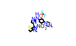 CN1CCN(c2cc(OC(F)F)c(Nc3nccc(-c4nn(C)c5ccsc45)n3)cc2[N+](=O)[O-])CC1